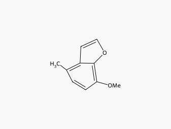 COc1ccc(C)c2ccoc12